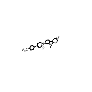 CN1CCc2c(c3ccc(-n4ccc(-c5ccc(C(F)(F)F)cc5)cc4=O)cc3n2C)C1